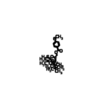 COc1ccc(C(=O)OC[C@@H](CO[Si](C)(C)C(C)(C)C)O[Si](C)(C)C(C)(C)C)cc1